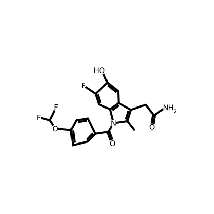 Cc1c(CC(N)=O)c2cc(O)c(F)cc2n1C(=O)c1ccc(OC(F)F)cc1